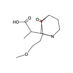 COCCC1(C(C)C(=O)O)C(=O)C2CCN1CC2